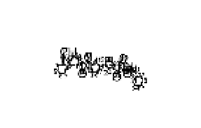 CCn1c2ccccc2c2cc(N3C(=O)c4ccc(-c5ccc6c(c5)C(=O)N(c5nnc(-c7ccccc7)o5)C6=O)cc4C3=O)ccc21